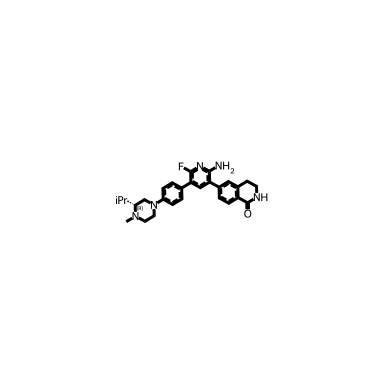 CC(C)[C@@H]1CN(c2ccc(-c3cc(-c4ccc5c(c4)CCNC5=O)c(N)nc3F)cc2)CCN1C